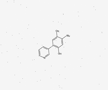 CC(C)(C)c1cc(O)c(-c2cccnc2)cc1O